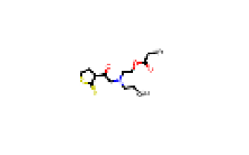 CC(=O)OCCN(CCOC(=O)CC(C)C)CC(=O)C1CCSC1=S